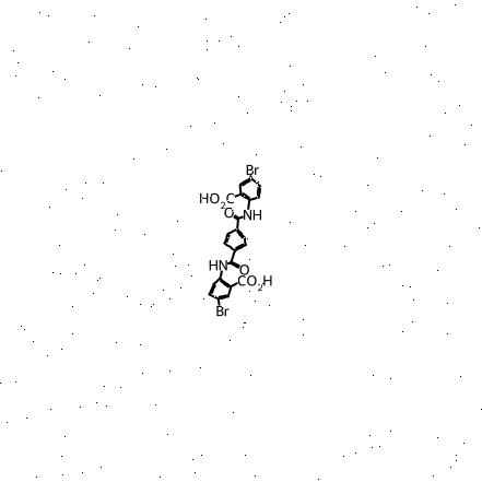 O=C(Nc1ccc(Br)cc1C(=O)O)c1ccc(C(=O)Nc2ccc(Br)cc2C(=O)O)cc1